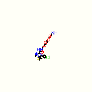 CNCCOCCOCCOCCOCCNC(=O)CC1N=C(c2ccc(Cl)cc2)c2c(sc(C)c2C)-n2c(C)nnc21